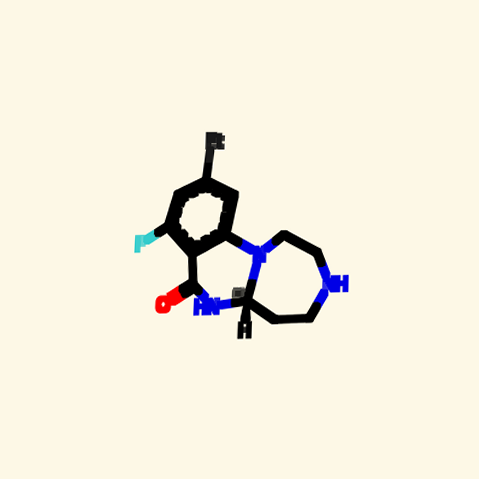 CCc1cc(F)c2c(c1)N1CCNCC[C@@H]1NC2=O